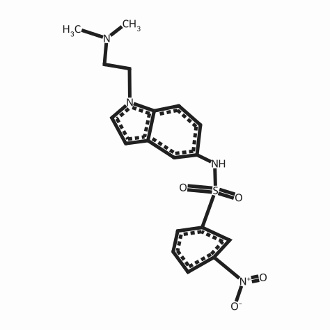 CN(C)CCn1ccc2cc(NS(=O)(=O)c3cccc([N+](=O)[O-])c3)ccc21